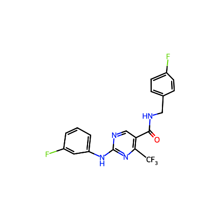 O=C(NCc1ccc(F)cc1)c1cnc(Nc2cccc(F)c2)nc1C(F)(F)F